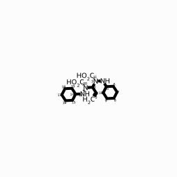 C=CC(N(NC1CCCCC1)C(=O)O)N(NC1CCCCC1)C(=O)O